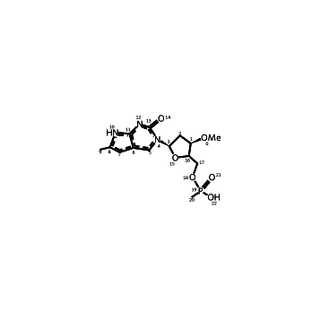 CO[C@@H]1C[C@H](n2cc3cc(C)[nH]c3nc2=O)OC1COP(C)(=O)O